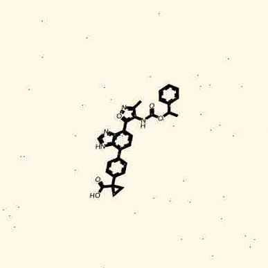 Cc1noc(-c2ccc(-c3ccc(C4(C(=O)O)CC4)cc3)c3[nH]cnc23)c1NC(=O)OC(C)c1ccccc1